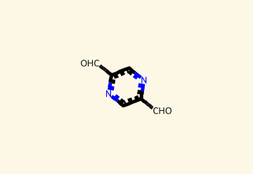 O=Cc1cnc(C=O)cn1